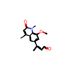 COc1cc(/C(C)=C\C=O)cc2c(C)cc(=O)n(C)c12